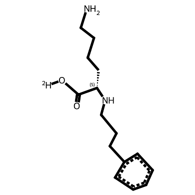 [2H]OC(=O)[C@H](CCCCN)NCCCc1ccccc1